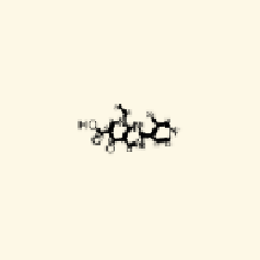 CCn1cc(C(=O)O)c(=O)c2cnc(-c3ccncc3C)nc21